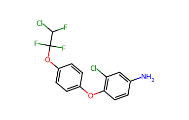 Nc1ccc(Oc2ccc(OC(F)(F)C(F)Cl)cc2)c(Cl)c1